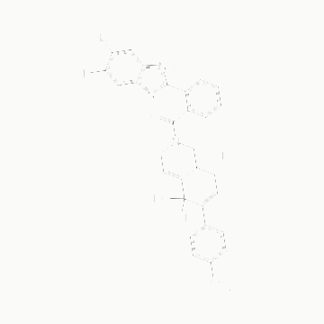 CC1(C)C(c2ccc(C(=O)O)cc2)=CC[C@]2(C)CN(C(=O)c3ccccc3-c3nc4cc(F)c(Cl)cc4[nH]3)CC=C12